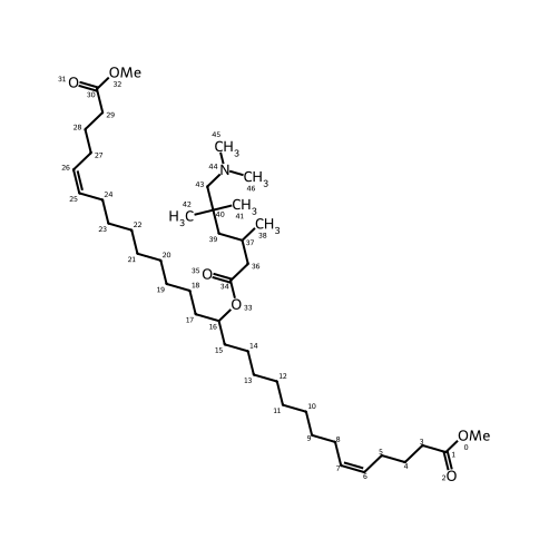 COC(=O)CCC/C=C\CCCCCCCCC(CCCCCCCC/C=C\CCCC(=O)OC)OC(=O)CC(C)CC(C)(C)CN(C)C